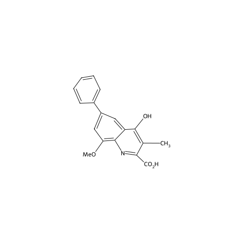 COc1cc(-c2ccccc2)cc2c(O)c(C)c(C(=O)O)nc12